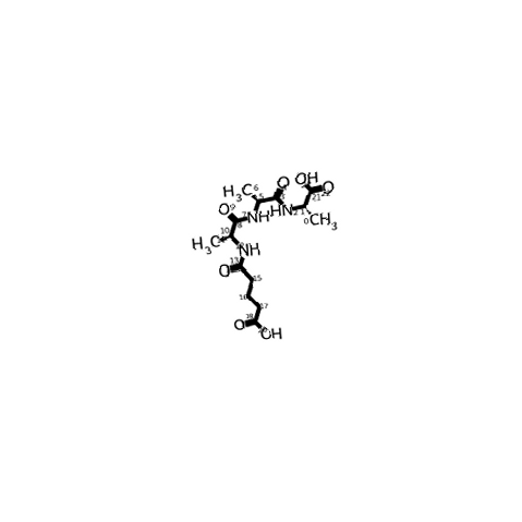 C[C@H](NC(=O)[C@H](C)NC(=O)[C@H](C)NC(=O)CCCC(=O)O)C(=O)O